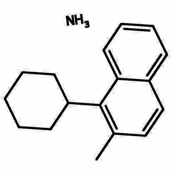 Cc1ccc2ccccc2c1C1CCCCC1.N